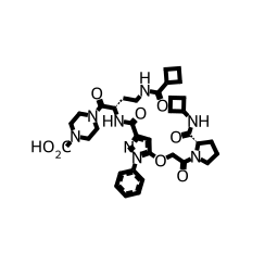 O=C(N[C@@H](CCNC(=O)C1CCC1)C(=O)N1CCN(C(=O)O)CC1)c1cc(OCC(=O)N2CCC[C@H]2C(=O)NC2CCC2)n(-c2ccccc2)n1